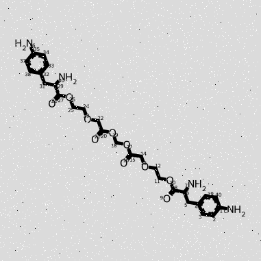 Nc1ccc(CC(N)C(=O)OCCOCC(=O)OCOC(=O)COCCOC(=O)C(N)Cc2ccc(N)cc2)cc1